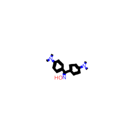 CN(C)c1ccc(C(=NO)c2ccc(N(C)C)cc2)cc1